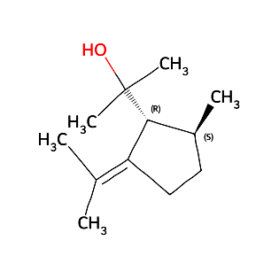 CC(C)=C1CC[C@H](C)[C@H]1C(C)(C)O